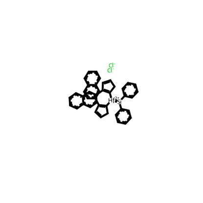 C1=CC(c2ccc3ccccc3c2)=[C]([Hf+2]([C]2=C(c3ccc4ccccc4c3)C=CC2)=[Si](c2ccccc2)c2ccccc2)C1.[Cl-].[Cl-]